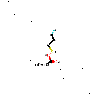 CCCCCC(=O)OSCCCF